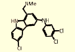 CNCc1cc(Nc2ccc(Cl)c(Cl)c2)cc2c1[nH]c1ccc(Cl)cc12